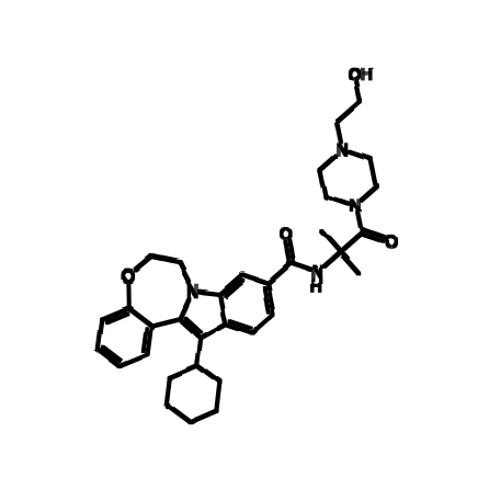 CC(C)(NC(=O)c1ccc2c(C3CCCCC3)c3n(c2c1)CCOc1ccccc1-3)C(=O)N1CCN(CCO)CC1